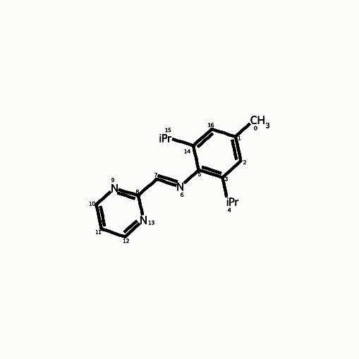 Cc1cc(C(C)C)c(N=Cc2ncccn2)c(C(C)C)c1